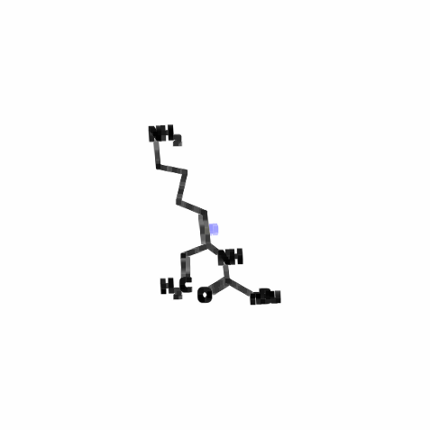 C=C/C(=C\CCCN)NC(=O)CCCC